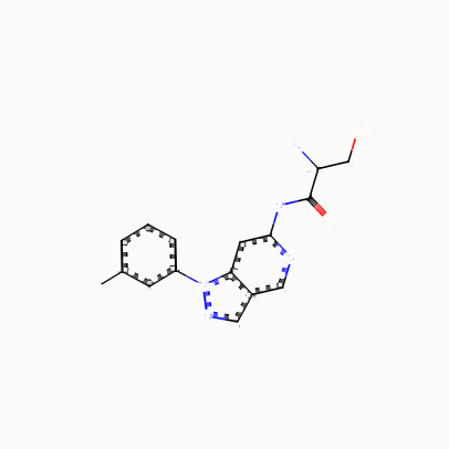 Cc1cccc(-n2ncc3cnc(NC(=O)C(N)CO)cc32)c1